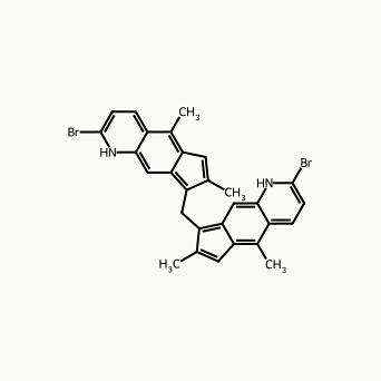 Cc1cc2c(C)c3ccc(Br)[nH]c3cc2c1Cc1c(C)cc2c(C)c3ccc(Br)[nH]c3cc12